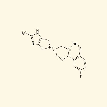 Cc1nc2c([nH]1)CN([C@H]1CSC(c3cc(F)ccc3F)[C@@H](N)C1)C2